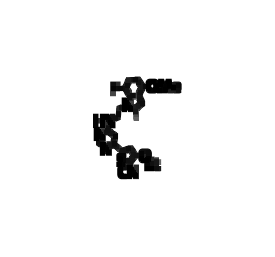 CCOc1cc(-c2cc(NCCn3c(C)cc4c(OC)ccc(F)c43)ncn2)sc1C#N